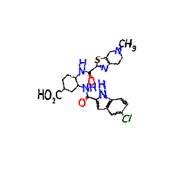 CN1CCc2nc(C(=O)NC3CCC(C(=O)O)CC3NC(=O)c3cc4cc(Cl)ccc4[nH]3)sc2C1